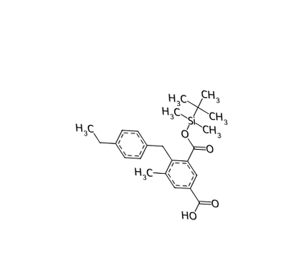 CCc1ccc(Cc2c(C)cc(C(=O)O)cc2C(=O)O[Si](C)(C)C(C)(C)C)cc1